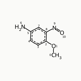 COc1ccc(N)cc1N=O